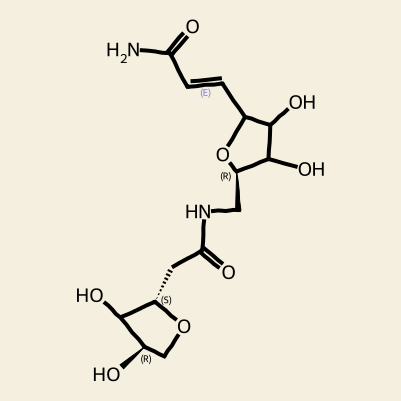 NC(=O)/C=C/C1O[C@H](CNC(=O)C[C@@H]2OC[C@@H](O)C2O)C(O)C1O